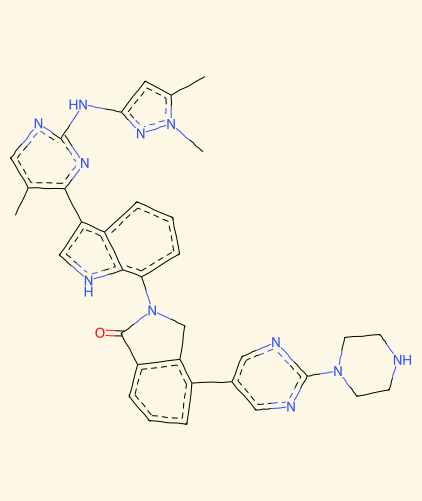 Cc1cnc(Nc2cc(C)n(C)n2)nc1-c1c[nH]c2c(N3Cc4c(cccc4-c4cnc(N5CCNCC5)nc4)C3=O)cccc12